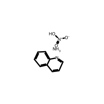 N.O=[N+]([O-])O.c1ccc2ncccc2c1